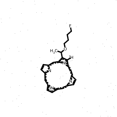 [2H]c1c(C(C)OCCCCF)c2cc3nc(cc4ccc(cc5nc(cc1[nH]2)C=C5)[nH]4)C=C3